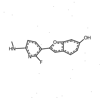 CNc1ccc(-c2cc3ccc(O)cc3o2)c(F)n1